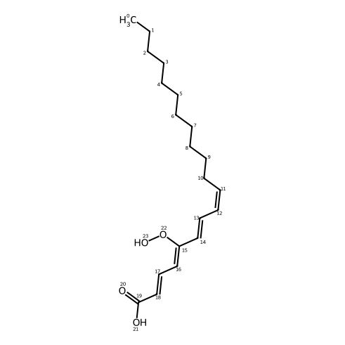 CCCCCCCCCCC\C=C/C=C/C(=C/C=CC(=O)O)OO